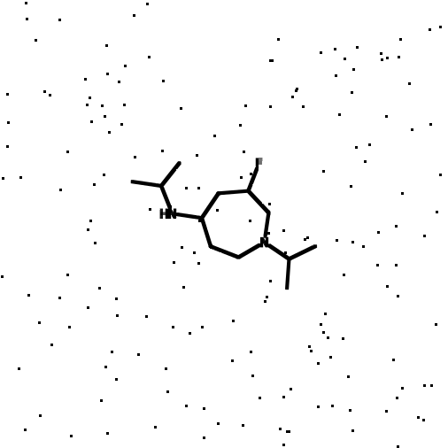 CC(C)NC1CCN(C(C)C)CC(F)C1